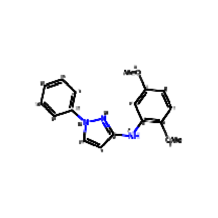 COc1[c]cc(OC)c(Nc2ccn(-c3ccccc3)n2)c1